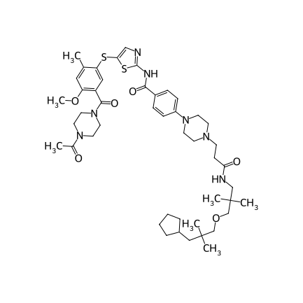 COc1cc(C)c(Sc2cnc(NC(=O)c3ccc(N4CCN(CCC(=O)NCC(C)(C)COCC(C)(C)CC5CCCC5)CC4)cc3)s2)cc1C(=O)N1CCN(C(C)=O)CC1